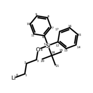 [Li][CH2]CCO[Si](c1ccccc1)(c1ccccc1)C(C)(C)C